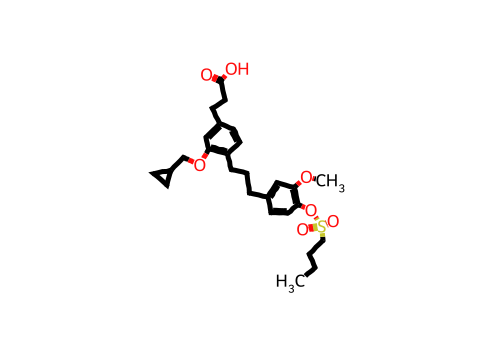 CCCCS(=O)(=O)Oc1ccc(CCCc2ccc(CCC(=O)O)cc2OCC2CC2)cc1OC